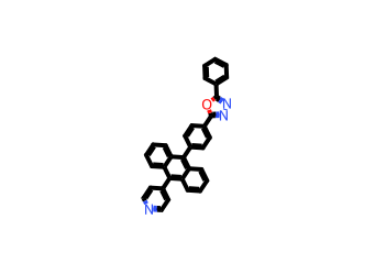 c1ccc(-c2nnc(-c3ccc(-c4c5ccccc5c(-c5ccncc5)c5ccccc45)cc3)o2)cc1